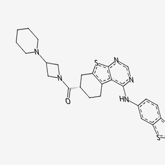 O=C([C@H]1CCc2c(sc3ncnc(Nc4ccc5nnsc5c4)c23)C1)N1CC(N2CCCCC2)C1